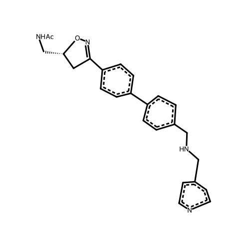 CC(=O)NC[C@H]1CC(c2ccc(-c3ccc(CNCc4ccncc4)cc3)cc2)=NO1